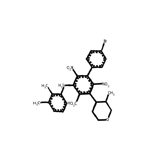 Cc1cccc([SiH2]c2c(C(=O)O)c(C3CCOCC3C)c([N+](=O)[O-])c(-c3ccc(Br)cc3)c2[N+](=O)[O-])c1C